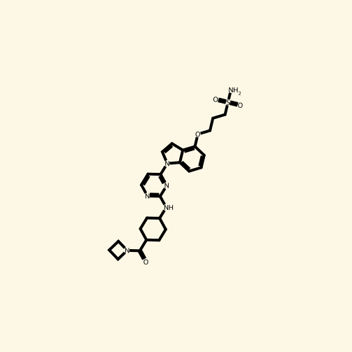 NS(=O)(=O)CCCOc1cccc2c1ccn2-c1ccnc(NC2CCC(C(=O)N3CCC3)CC2)n1